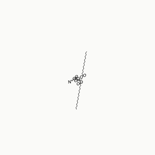 CCCCCCCCCCCCCCCC(=O)O[C@H](COC(=O)CCCCCCCCCCCCCC)COP(=O)(O)OCC[N+](C)(C)C